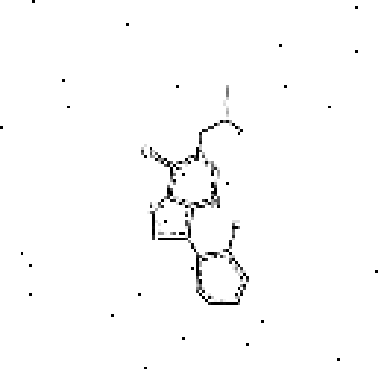 CC(C)Cn1cnc2c(-c3ccccc3F)csc2c1=O